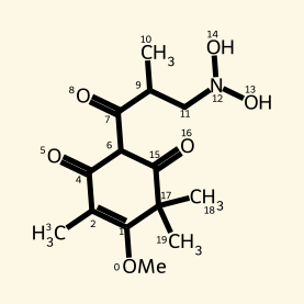 COC1=C(C)C(=O)C(C(=O)C(C)CN(O)O)C(=O)C1(C)C